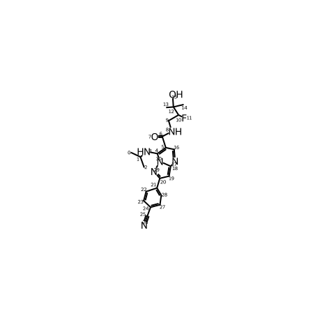 CC(C)Nc1c(C(=O)NCC(F)C(C)(C)O)cnc2cc(-c3ccc(C#N)cc3)nn12